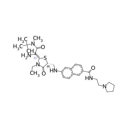 CCN1C(=O)[C@@H](CNc2ccc3cc(C(=O)NCCN4CCCC4)ccc3c2)S/C1=C(/N)C(=O)N(C)C(C)(C)C